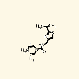 C=CN(/C=C\N)C(=O)NCc1csc(C(C)C)n1